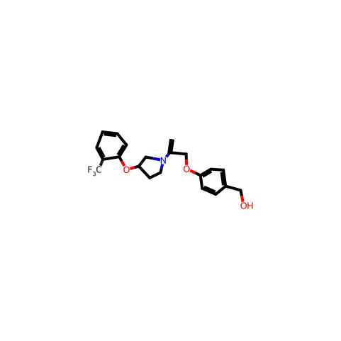 C=C(COc1ccc(CO)cc1)N1CCC(Oc2ccccc2C(F)(F)F)C1